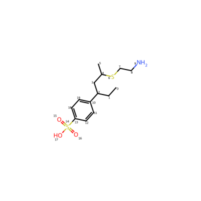 CCC(CC(C)SCCN)c1ccc(S(=O)(=O)O)cc1